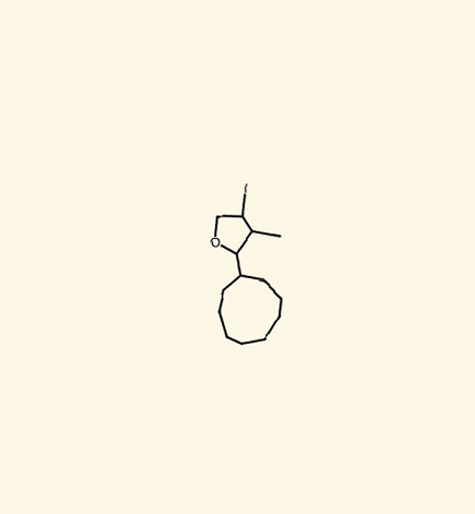 CC1C(I)COC1C1CCCCCCCC1